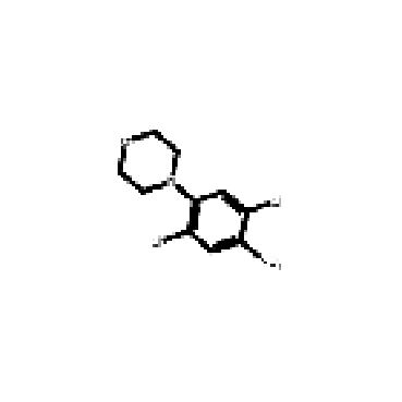 O=[N+]([O-])c1cc(Cl)c(N2CCOCC2)cc1Cl